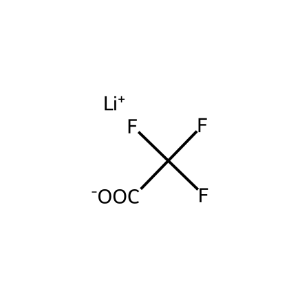 O=C([O-])C(F)(F)F.[Li+]